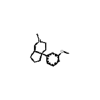 COc1cccc(C23CCCC2=CN(C)CC3)c1